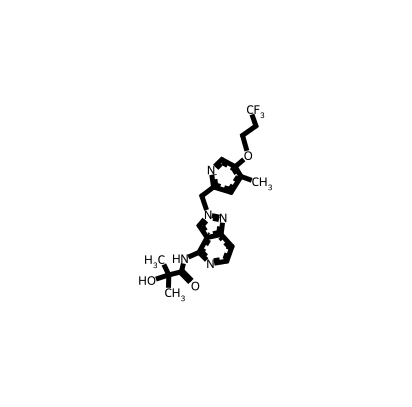 Cc1cc(Cn2cc3c(NC(=O)C(C)(C)O)nccc3n2)ncc1OCCC(F)(F)F